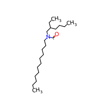 CCCCCCCCCCCCN([C]=O)CC(CC)CCCC